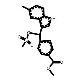 COC(=O)c1ccc(C(OS(C)(=O)=O)c2c[nH]c3ccc(C)cc23)cc1